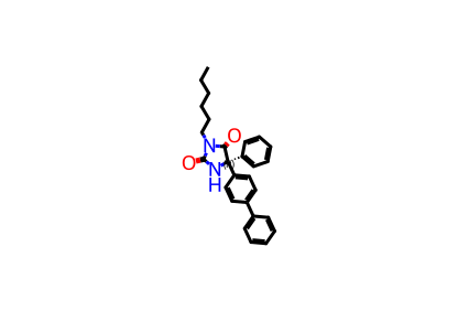 CCCCCCN1C(=O)N[C@](c2ccccc2)(c2ccc(-c3ccccc3)cc2)C1=O